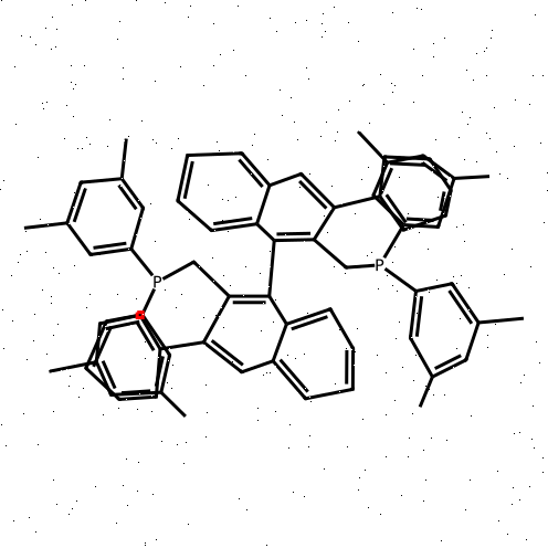 Cc1cc(C)cc(P(Cc2c(-c3ccccc3)cc3ccccc3c2-c2c(CP(c3cc(C)cc(C)c3)c3cc(C)cc(C)c3)c(-c3ccccc3)cc3ccccc23)c2cc(C)cc(C)c2)c1